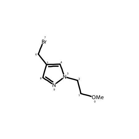 COCCn1cc(CBr)cn1